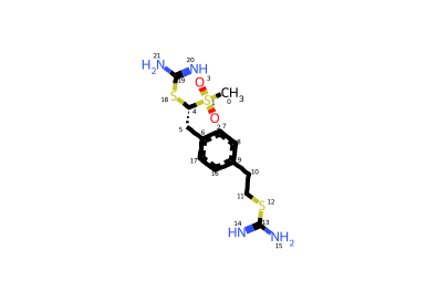 CS(=O)(=O)[C@H](Cc1ccc(CCSC(=N)N)cc1)SC(=N)N